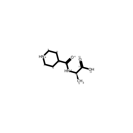 C[C@@H](NC(=O)C1CCNCC1)C(=O)O